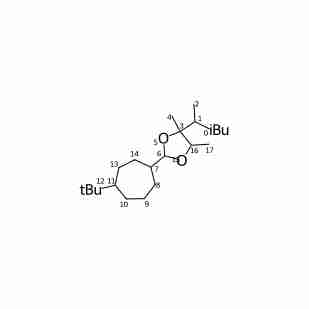 CCC(C)C(C)C1(C)OC(C2CCCC(C(C)(C)C)CC2)OC1C